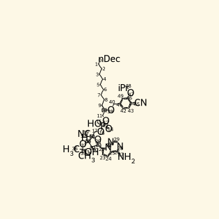 CCCCCCCCCCCCCCCCCCC[C@H](COP(=O)(O)OC[C@@]1(C#N)O[C@@H](c2ccc3c(N)ncnn23)[C@@H]2OC(C)(C)O[C@@H]21)OCc1ccc(C#N)c(OC(C)C)c1